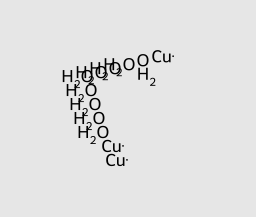 O.O.O.O.O.O.O.O.O.[Cu].[Cu].[Cu]